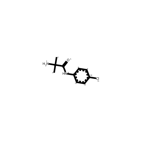 CC(C)(N)C(=O)Nc1ccc(Cl)cc1